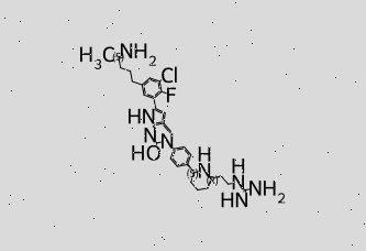 C[C@H](N)CCCc1cc(Cl)c(F)c(-c2cc3c([nH]2)=NC(O)N(c2ccc([C@@H]4CCC[C@H](CCNC(=N)N)N4)cc2)C=3)c1